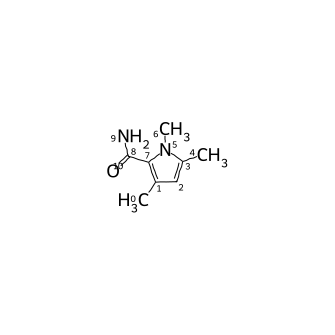 Cc1cc(C)n(C)c1C(N)=O